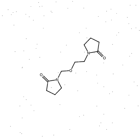 O=C1CCCN1CCOCN1CCCC1=O